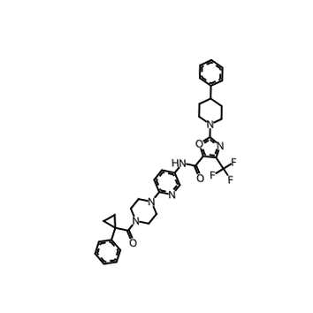 O=C(Nc1ccc(N2CCN(C(=O)C3(c4ccccc4)CC3)CC2)nc1)c1oc(N2CCC(c3ccccc3)CC2)nc1C(F)(F)F